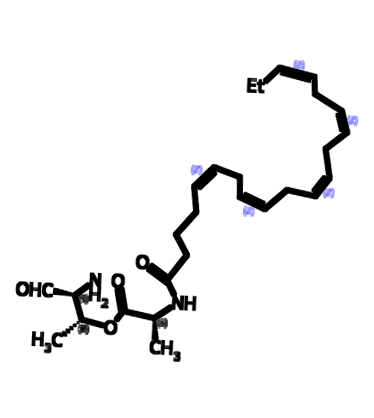 CC/C=C\C/C=C\C/C=C\C/C=C\C/C=C\CCCC(=O)N[C@@H](C)C(=O)O[C@H](C)[C@H](N)C=O